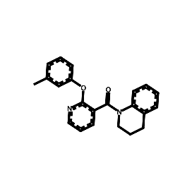 Cc1cccc(Oc2ncccc2C(=O)N2CCCc3ccccc32)c1